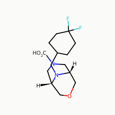 O=C(O)N1C[C@H]2COC[C@@H](C1)N2CC1CCC(F)(F)CC1